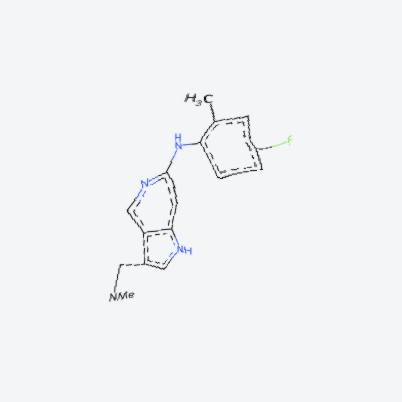 CNCc1c[nH]c2cc(Nc3ccc(F)cc3C)ncc12